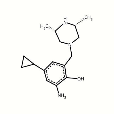 C[C@@H]1CN(Cc2cc(C3CC3)cc(N)c2O)C[C@H](C)N1